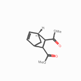 COC(=O)C1C2C=C[C@@H](C2)C1C(=O)OC